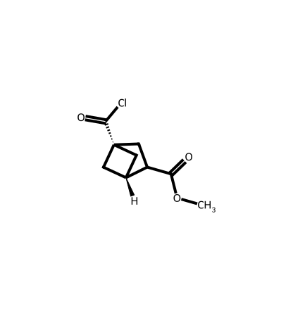 COC(=O)C1C[C@]2(C(=O)Cl)C[C@@H]1C2